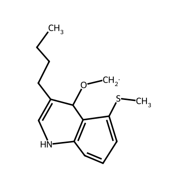 [CH2]OC1C(CCCC)=CNc2cccc(SC)c21